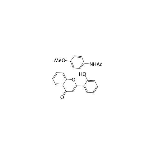 COc1ccc(NC(C)=O)cc1.O=c1cc(-c2ccccc2O)oc2ccccc12